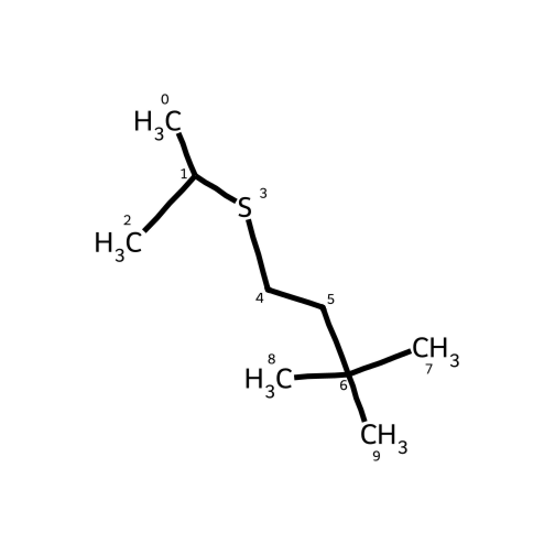 CC(C)SCCC(C)(C)C